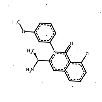 COc1cccc(-n2c([C@H](C)N)cc3cccc(Cl)c3c2=O)c1